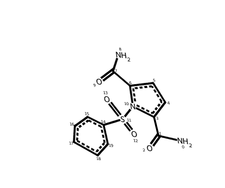 NC(=O)c1ccc(C(N)=O)n1S(=O)(=O)c1ccccc1